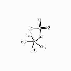 CP(C)(C)(C)OS(=O)(=O)C(F)(F)F